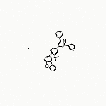 CC1(C)c2cc(-c3cc(-c4ccccc4)nc(-c4ccccc4)c3)ccc2-c2ccc3oc4ccccc4c3c21